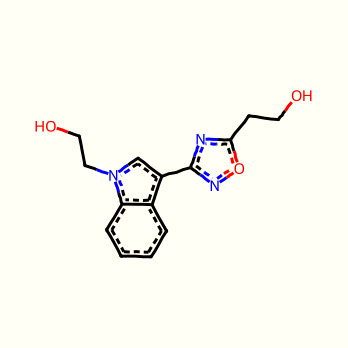 OCCc1nc(-c2cn(CCO)c3ccccc23)no1